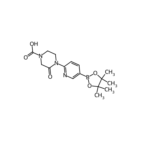 CC1(C)OB(c2ccc(N3CCN(C(=O)O)CC3=O)nc2)OC1(C)C